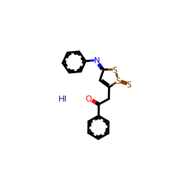 I.O=C(CC1=CC(=Nc2ccccc2)SS1=S)c1ccccc1